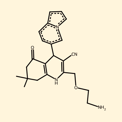 CC1(C)CC(=O)C2=C(C1)NC(COCCN)=C(C#N)C2c1ccc2cccn2c1